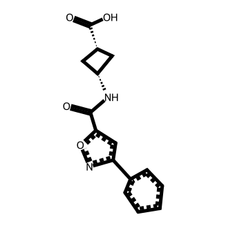 O=C(N[C@H]1C[C@@H](C(=O)O)C1)c1cc(-c2ccccc2)no1